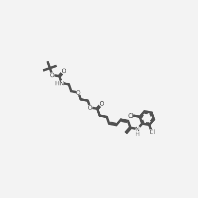 C=C(/C=C\C=C/CCC(=O)OCCOCCNC(=O)OC(C)(C)C)Nc1c(Cl)cccc1Cl